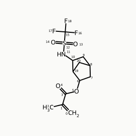 C=C(C)C(=O)OC1CC2CC(NS(=O)(=O)C(F)(F)F)C1C2